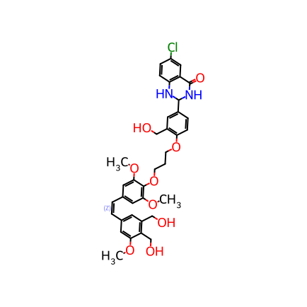 COc1cc(/C=C\c2cc(OC)c(OCCCOc3ccc(C4NC(=O)c5cc(Cl)ccc5N4)cc3CO)c(OC)c2)cc(CO)c1CO